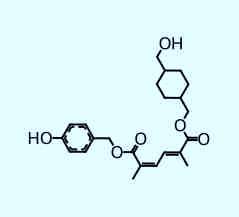 CC(=CC=C(C)C(=O)OCC1CCC(CO)CC1)C(=O)OCc1ccc(O)cc1